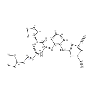 C#Cc1cc(C#N)cc(Nc2ncnc3cc(O[C@H]4CCOC4)c(NC(=O)/C=C/CN(CC)CC)cc23)c1